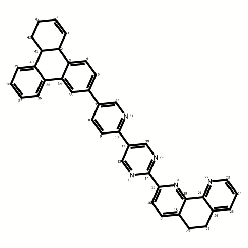 C1=CC2c3ccc(-c4ccc(-c5cnc(-c6ccc7c(n6)-c6ncccc6CC7)nc5)nc4)cc3-c3ccccc3C2CC1